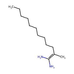 CCCCCCCCCCC(C)=C(N)N